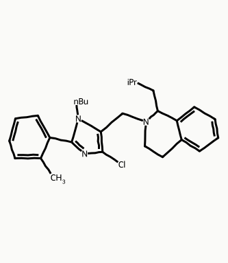 CCCCn1c(-c2ccccc2C)nc(Cl)c1CN1CCc2ccccc2C1CC(C)C